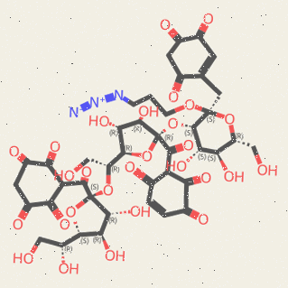 [N-]=[N+]=NCCCO[C@@]1(CC2=CC(=O)C(=O)CC2=O)O[C@H](CO)[C@@H](O)[C@H](O)[C@@H]1O[C@]1(C(=O)C2C(=O)C=CC(=O)C2=O)O[C@@H]([C@@H](CO)O[C@]2(C(=O)C3C(=O)C(=O)CC(=O)C3=O)O[C@@H]([C@H](O)CO)[C@H](O)[C@H]2O)[C@H](O)[C@H]1O